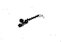 CCCCCCCCCCCCc1ccc(OP(=O)(Oc2ccccc2)Oc2ccccc2)cc1